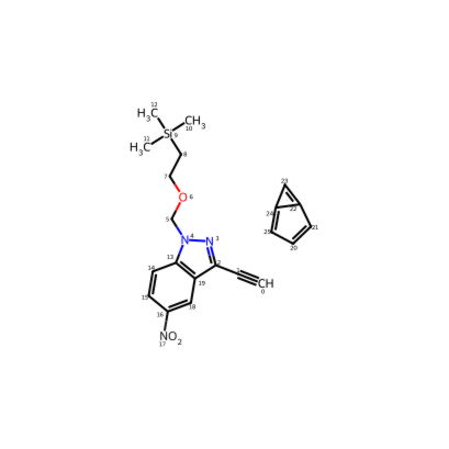 C#Cc1nn(COCC[Si](C)(C)C)c2ccc([N+](=O)[O-])cc12.c1cc2cc-2c1